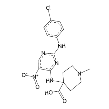 CN1CCC(Nc2nc(Nc3ccc(Cl)cc3)ncc2[N+](=O)[O-])(C(=O)O)CC1